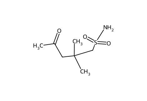 CC(=O)CC(C)(C)CS(N)(=O)=O